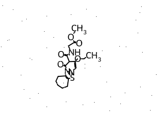 CCOC(=O)CNC(=O)C1C(=O)N2C3=C(CCCCC3)SN2C=C1OCC